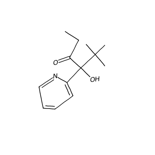 CCC(=O)C(O)(c1ccccn1)C(C)(C)C